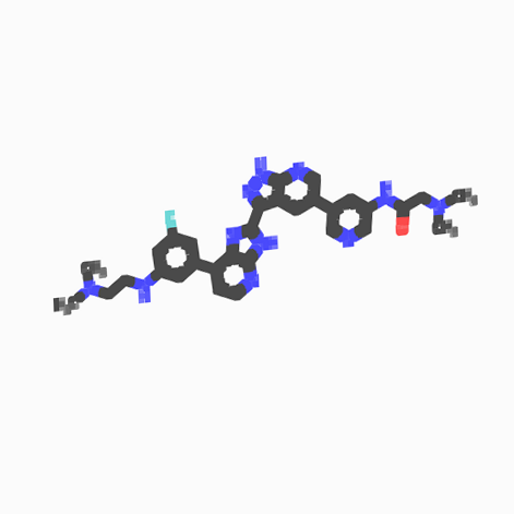 CN(C)CCNc1cc(F)cc(-c2ccnc3[nH]c(-c4n[nH]c5ncc(-c6cncc(NC(=O)CN(C)C)c6)cc45)nc23)c1